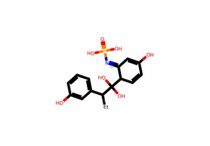 CCC(c1cccc(O)c1)C(O)(O)C1C=CC(O)=C/C1=N\P(=O)(O)O